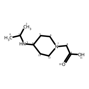 CC(C)NC1CCN(CC(=O)O)CC1